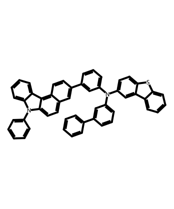 c1ccc(-c2cccc(N(c3cccc(-c4ccc5c(ccc6c5c5ccccc5n6-c5ccccc5)c4)c3)c3ccc4sc5ccccc5c4c3)c2)cc1